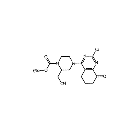 CC(C)(C)OC(=O)N1CCN(c2nc(Cl)nc3c2CCCC3=O)CC1CC#N